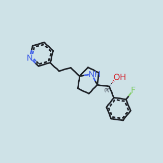 O[C@H](c1ccccc1F)C12CCC(CCc3cccnc3)(CC1)N2